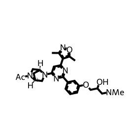 CNCC(O)COc1cccc(-c2nc(-c3c(C)noc3C)cc(N3C[C@@H]4C[C@H]3CN4C(C)=O)n2)c1